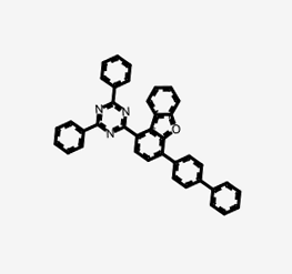 c1ccc(-c2ccc(-c3ccc(-c4nc(-c5ccccc5)nc(-c5ccccc5)n4)c4c3oc3ccccc34)cc2)cc1